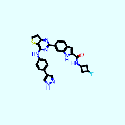 O=C(NC1CC(F)C1)c1cc2ccc(-c3nc(Nc4ccc(-c5cn[nH]c5)cc4)c4sccc4n3)cc2[nH]1